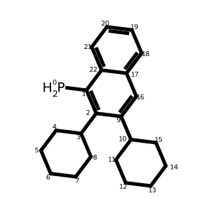 Pc1c(C2CCCCC2)c(C2CCCCC2)cc2ccccc12